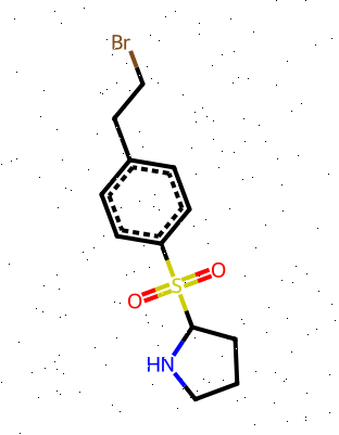 O=S(=O)(c1ccc(CCBr)cc1)C1CCCN1